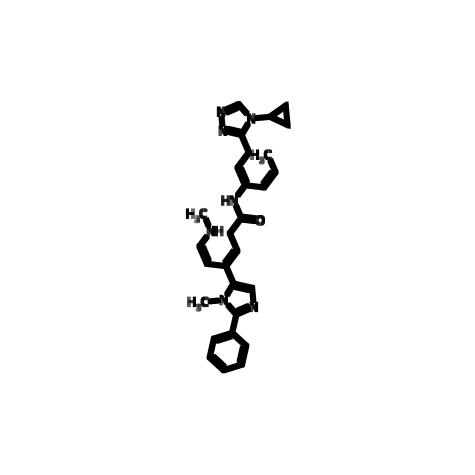 C/C=C\C(=C/Cc1nncn1C1CC1)NC(=O)C/C=C(\C=C/NC)c1cnc(-c2ccccc2)n1C